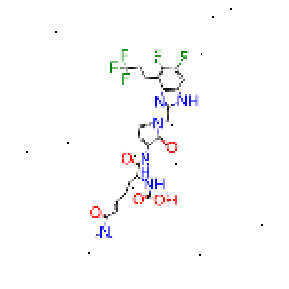 CN(C)C(=O)C=CCCC(NC(=O)O)C(=O)Nc1cccn(Cc2nc3c(CCC(F)(F)F)c(F)c(F)cc3[nH]2)c1=O